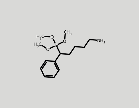 CO[Si](OC)(OC)C(CCCCN)c1ccccc1